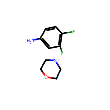 C1COCCN1.Nc1ccc(F)c(F)c1